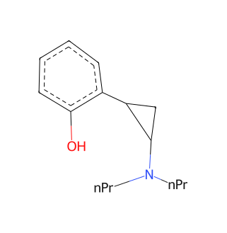 CCCN(CCC)C1CC1c1ccccc1O